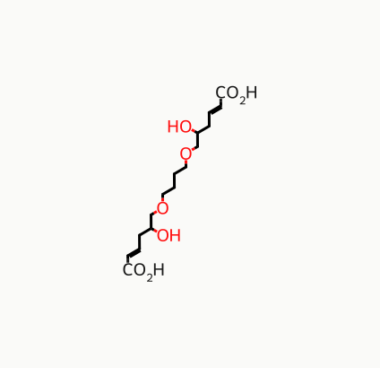 O=C(O)C=CCC(O)COCCCCOCC(O)CC=CC(=O)O